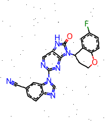 N#Cc1ccc2ncn(-c3ncc4[nH]c(=O)n(C5CCOc6ccc(F)cc65)c4n3)c2c1